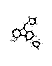 C(=C1c2ccccc2-c2ccccc21)[c-]1cccc1.[Fe+2].c1cc[cH-]c1